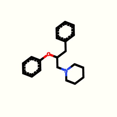 c1ccc(CC(CN2CCCCC2)Oc2ccccc2)cc1